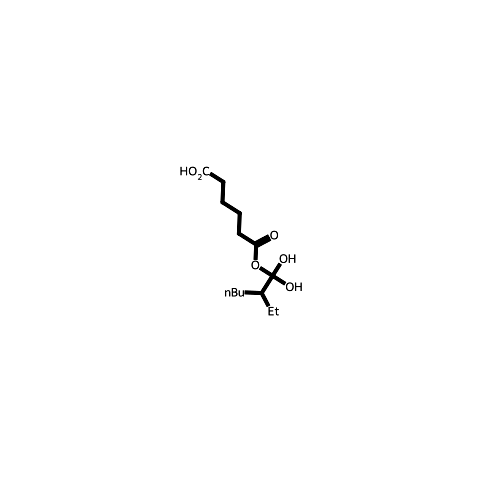 CCCCC(CC)C(O)(O)OC(=O)CCCCC(=O)O